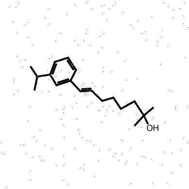 CC(C)c1cccc(/C=C/CCCCC(C)(C)O)c1